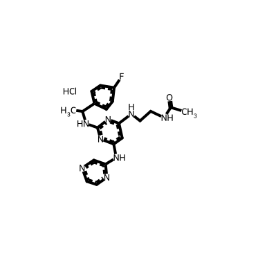 CC(=O)NCCNc1cc(Nc2cnccn2)nc(NC(C)c2ccc(F)cc2)n1.Cl